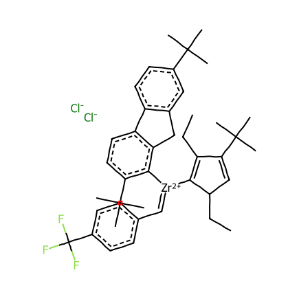 CCC1=[C](/[Zr+2](=[CH]/c2ccc(C(F)(F)F)cc2)[c]2c(C(C)(C)C)ccc3c2Cc2cc(C(C)(C)C)ccc2-3)C(CC)C=C1C(C)(C)C.[Cl-].[Cl-]